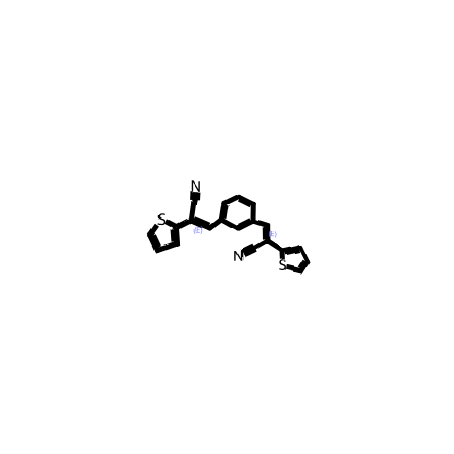 N#C/C(=C\c1cccc(/C=C(\C#N)c2cccs2)c1)c1cccs1